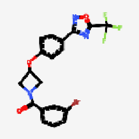 O=C(c1cccc(Br)c1)N1CC(Oc2ccc(-c3noc(C(F)(F)F)n3)cc2)C1